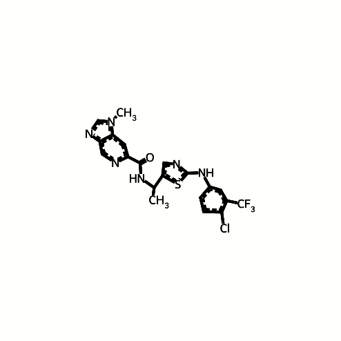 CC(NC(=O)c1cc2c(cn1)ncn2C)c1cnc(Nc2ccc(Cl)c(C(F)(F)F)c2)s1